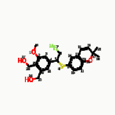 COc1cc(C(C[18F])Sc2ccc3c(c2)C=CC(C)(C)O3)cc(CO)c1CO